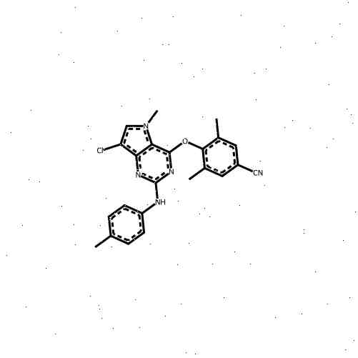 Cc1ccc(Nc2nc(Oc3c(C)cc(C#N)cc3C)c3c(n2)c(Cl)cn3C)cc1